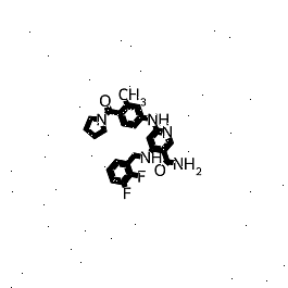 Cc1cc(Nc2cc(NCc3cccc(F)c3F)c(C(N)=O)cn2)ccc1C(=O)N1CCCC1